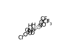 O=C(NCC1CCN(C(=O)OC(C(F)(F)F)C(F)(F)F)CC1)NS(=O)(=O)c1ccc(Cl)cc1